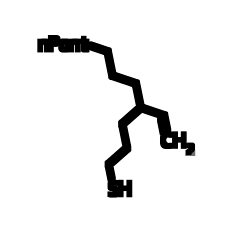 C=CC(CCCS)CCCCCCCC